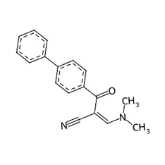 CN(C)/C=C(/C#N)C(=O)c1ccc(-c2ccccc2)cc1